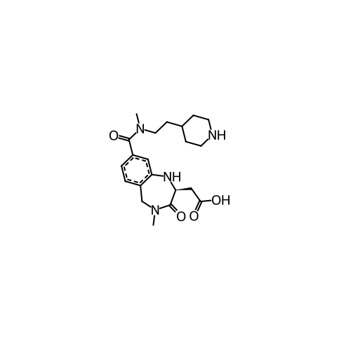 CN(CCC1CCNCC1)C(=O)c1ccc2c(c1)N[C@@H](CC(=O)O)C(=O)N(C)C2